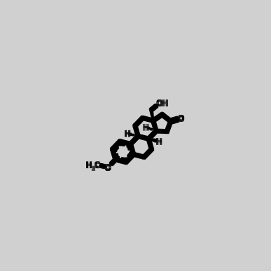 COc1ccc2c(c1)CC[C@@H]1[C@@H]2CC[C@]2(CO)CC(=O)C[C@@H]12